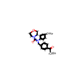 COC(=O)c1ccc(CN(C(=O)N2CCOCC2)c2ccc(OC)cc2)cc1